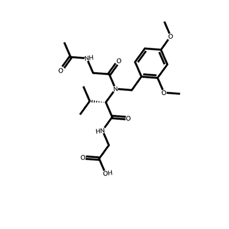 COc1ccc(CN(C(=O)CNC(C)=O)[C@H](C(=O)NCC(=O)O)C(C)C)c(OC)c1